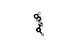 N#Cc1cccc(-c2cn(-c3ccc4c(n3)CCCC4=O)cn2)c1